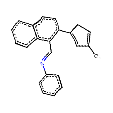 CC1=CCC(c2ccc3ccccc3c2C=Nc2ccccc2)=C1